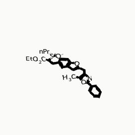 CCC[S+]([O-])C(Cc1ccc2oc(Cc3nc(-c4ccccc4)oc3C)cc2c1)C(=O)OCC